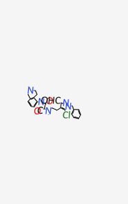 CN1CCc2c(ccc3c2N(C)C(=O)C(N(C)CCc2c(C=O)nn(Cc4ccccc4)c2Cl)CO3)C1